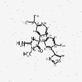 CN1C(=O)C(c2ccnc(C(F)F)c2)(c2cc(-c3cscn3)c(F)cc2F)N=C1N